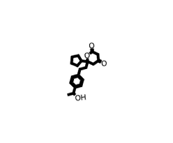 CC(O)c1ccc(CCC2(C3CCCC3)CC(=O)CC(=O)O2)cc1